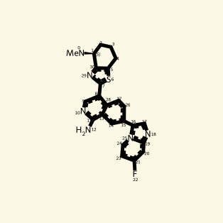 CN[C@H]1CCCc2sc(-c3cnc(N)c4cc(-c5cnc6cc(F)ccn56)ccc34)nc21